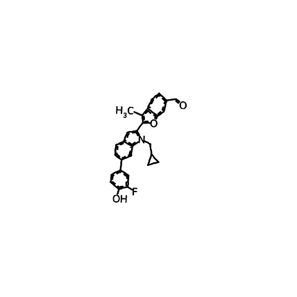 Cc1c(-c2cc3ccc(-c4ccc(O)c(F)c4)cc3n2CC2CC2)oc2cc(C=O)ccc12